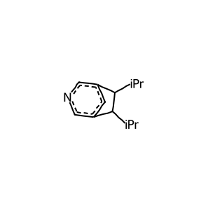 CC(C)C1c2cncc(c2)C1C(C)C